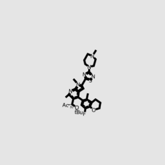 CC(=O)[C@@H](OC(C)(C)C)c1c(C)nc2c(cc(-c3nc(N4CCCN(C)CC4)ns3)n2C)c1-c1cc(F)c2c(c1C)CCCO2